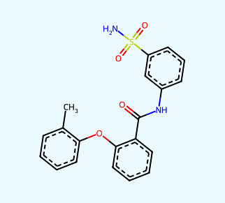 Cc1ccccc1Oc1ccccc1C(=O)Nc1cccc(S(N)(=O)=O)c1